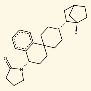 O=C1CCCN1[C@H]1CCC2(CCN([C@@H]3CC4CC[C@H]3C4)CC2)c2ccccc21